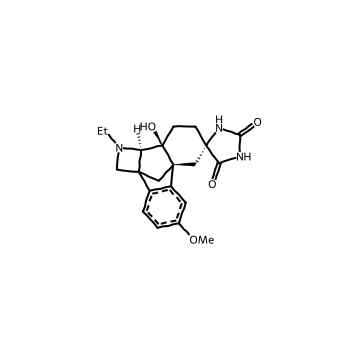 CCN1CC23C[C@@]4(C[C@]5(CC[C@@]4(O)[C@H]12)NC(=O)NC5=O)c1cc(OC)ccc13